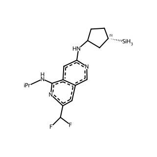 CC(C)Nc1nc(C(F)F)cc2cnc(NC3CC[C@H]([SiH3])C3)cc12